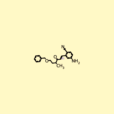 CC(CCOCc1ccccc1)C(=O)/C=C/c1cc(N)ccc1C#N